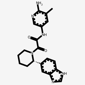 Cc1cc(NC(=O)C(=O)N2CCCC[C@H]2c2ccc3[nH]cnc3c2)cnc1N